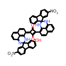 O=C1C(c2ccc3cccc4c3c2NC2(N4)c3ccccc3-c3ccc([N+](=O)[O-])cc32)=C(OO)/C1=c1/ccc2cccc3c2c1NC1(N=3)c2ccccc2-c2ccc([N+](=O)[O-])cc21